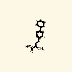 C/C(=C\Cc1ccc(-c2ccccc2)cc1)C(=O)O